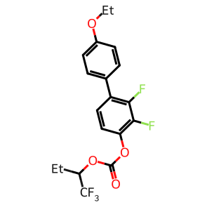 CCOc1ccc(-c2ccc(OC(=O)OC(CC)C(F)(F)F)c(F)c2F)cc1